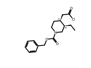 CC[C@H]1CN(C(=O)OCc2ccccc2)CC[C@H]1CC(=O)Cl